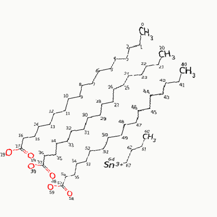 CCCCCCCCCCCCCCCCCC(=O)[O-].CCCCCCCCCCCCCCCCCC(=O)[O-].CCCCCCCCCCCCCCCCCC(=O)[O-].CCC[CH2][Sn+3]